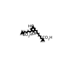 O=C(O)C1(CCCCCCc2cc(O)cc(CCCCC3(C(=O)O)CC3)c2O)CC1